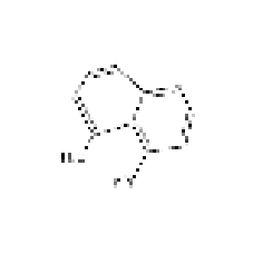 [CH2]c1cccc2cccc(CCC)c12